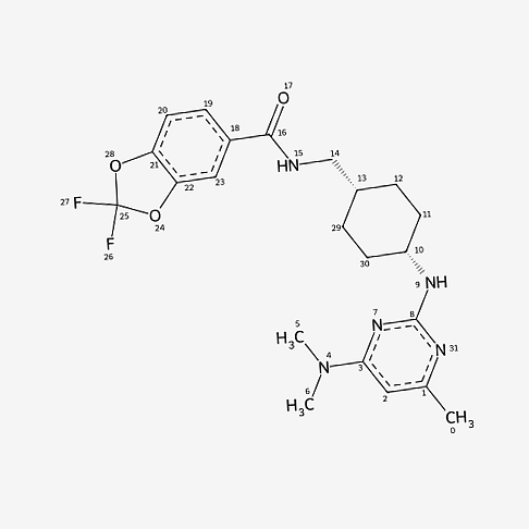 Cc1cc(N(C)C)nc(N[C@H]2CC[C@@H](CNC(=O)c3ccc4c(c3)OC(F)(F)O4)CC2)n1